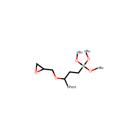 CCCCCC(CC[Si](OCCCC)(OCCCC)OCCCC)OCC1CO1